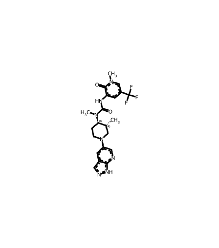 C[C@@H]1CN(c2cnc3[nH]ncc3c2)CC[C@H]1N(C)C(=O)Nc1cc(C(F)(F)F)cn(C)c1=O